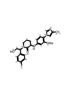 COc1cc(NC2CCCN(C(CO)c3ccc(F)cc3)C2=O)ccc1-n1cnc(C)c1